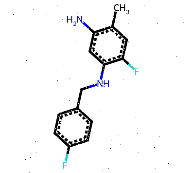 Cc1cc(F)c(NCc2ccc(F)cc2)cc1N